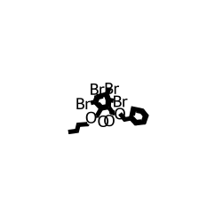 CCCCOC(=O)c1c(Br)c(Br)c(Br)c(Br)c1C(=O)OCc1ccccc1